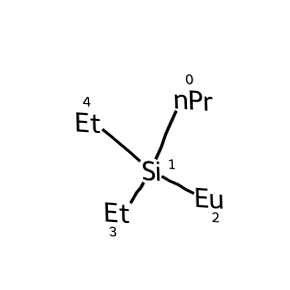 CCC[Si]([Eu])(CC)CC